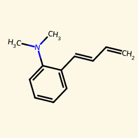 C=CC=Cc1ccccc1N(C)C